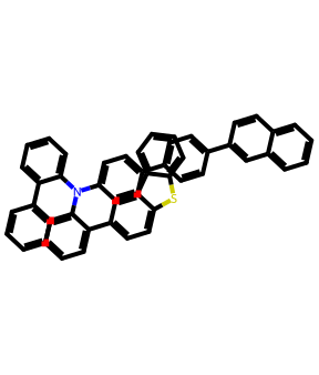 c1ccc(-c2ccccc2N(c2ccc(-c3ccc(-c4ccc5ccccc5c4)cc3)cc2)c2ccccc2-c2ccc3sc4ccccc4c3c2)cc1